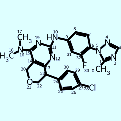 Cc1ncnn1-c1ccc(Nc2nc3c(c(N(C)C)n2)COCC3c2ccc(Cl)cc2)cc1F